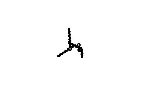 CCCCCCCCCOc1cc(/C=C/C(=O)c2ccc(SCCC)cc2)cc(OCCCCCCCCC)c1